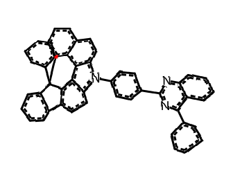 c1ccc(-c2nc(-c3ccc(-n4c5ccc6c7c5c5c8c(cccc8ccc54)C7(c4ccccc4)c4ccccc4-6)cc3)nc3ccccc23)cc1